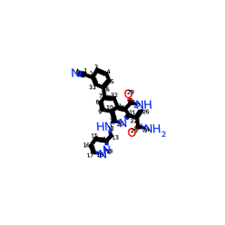 N#Cc1cccc(-c2ccc3c(NCc4cccnn4)nc4c(C(N)=O)c[nH]c(=O)c4c3c2)c1